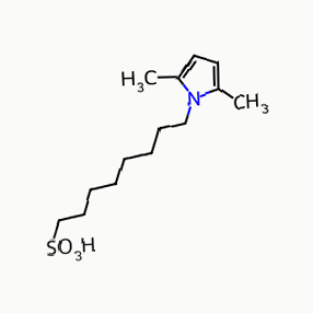 Cc1ccc(C)n1CCCCCCCCS(=O)(=O)O